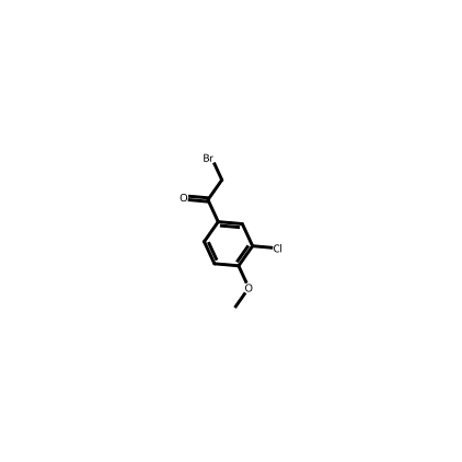 COc1ccc(C(=O)CBr)cc1Cl